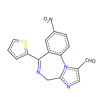 O=Cc1cnc2n1-c1ccc([N+](=O)[O-])cc1C(c1cccs1)=NC2